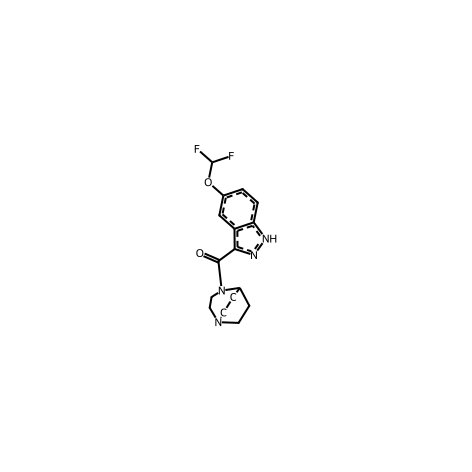 O=C(c1n[nH]c2ccc(OC(F)F)cc12)N1CCN2CCC1CC2